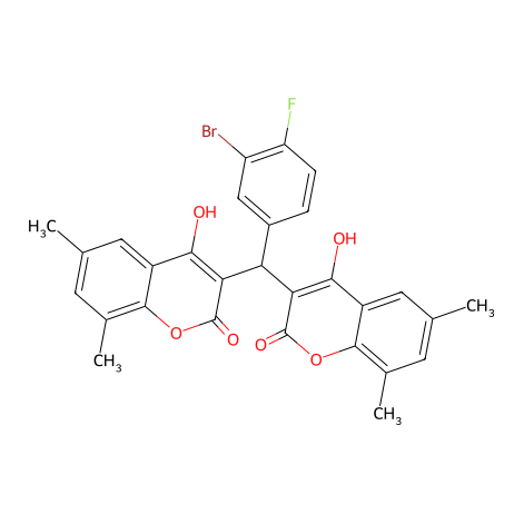 Cc1cc(C)c2oc(=O)c(C(c3ccc(F)c(Br)c3)c3c(O)c4cc(C)cc(C)c4oc3=O)c(O)c2c1